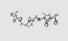 CC(=O)OCc1ccc(C=NN2CCN(C(=O)Cl)C2=O)o1